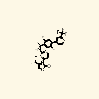 C[C@H](F)c1coc(=O)n1-c1ccnc(N[C@@H](C)c2cc(F)c(-c3ccnc(C(F)(F)F)c3)cc2F)n1